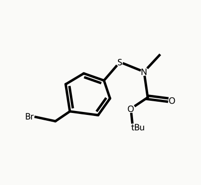 CN(Sc1ccc(CBr)cc1)C(=O)OC(C)(C)C